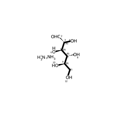 N.N.O=C[C@H](O)[C@H](O)[C@H](O)[C@H](O)CO